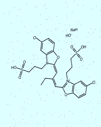 CCC(=Cc1oc2ccc(Cl)cc2[n+]1CCCS(=O)(=O)O)C=C1Oc2ccc(Cl)cc2N1CCCS(=O)(=O)O.[NaH].[OH-]